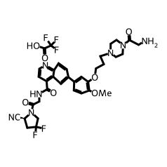 COc1ccc(-c2ccc3nccc(C(=O)NCC(=O)N4CC(F)(F)C[C@H]4C#N)c3c2)cc1OCCCN1CCN(C(=O)CN)CC1.O=C(O)C(F)(F)F